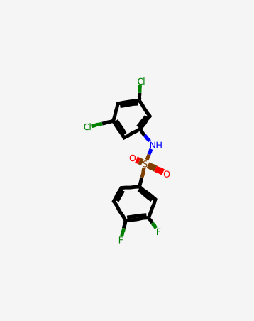 O=S(=O)(Nc1cc(Cl)cc(Cl)c1)c1ccc(F)c(F)c1